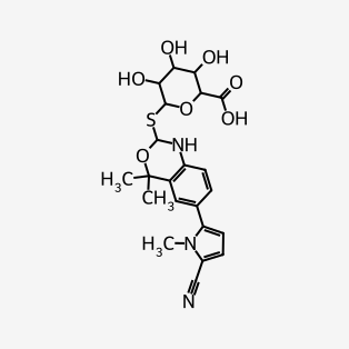 Cn1c(C#N)ccc1-c1ccc2c(c1)C(C)(C)OC(SC1OC(C(=O)O)C(O)C(O)C1O)N2